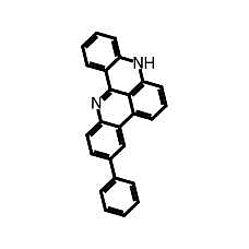 c1ccc(-c2ccc3nc4c5c(cccc5c3c2)Nc2ccccc2-4)cc1